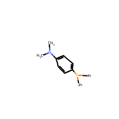 CC(C)P(c1ccc(N(C)C)cc1)C(C)C